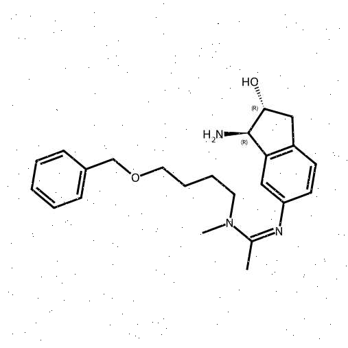 CC(=Nc1ccc2c(c1)[C@@H](N)[C@H](O)C2)N(C)CCCCOCc1ccccc1